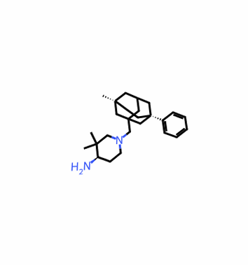 CC1(C)CN(CC23CC4C[C@](C)(C2)C[C@@](c2ccccc2)(C4)C3)CC[C@H]1N